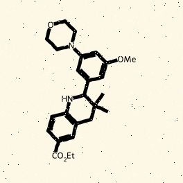 CCOC(=O)c1ccc2c(c1)CC(C)(C)C(c1cc(OC)cc(N3CCOCC3)c1)N2